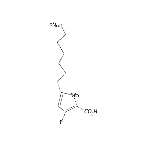 CCCCCCCCCCCCCCCc1cc(F)c(C(=O)O)[nH]1